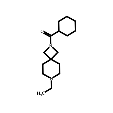 CCN1CCC2(CC1)CN(C(=O)C1CCCCC1)C2